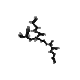 C=CCOC(=O)N(C)CCCN(CC(=O)O)C(=O)OCC=C